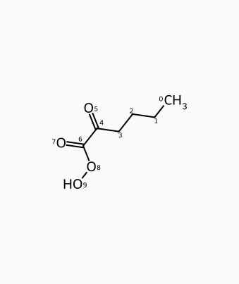 CCCCC(=O)C(=O)OO